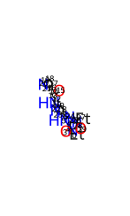 CCn1c(=O)c2[nH]c(-c3ccc(NCCC(=O)c4cccnc4)nc3)nc2n(CC)c1=O